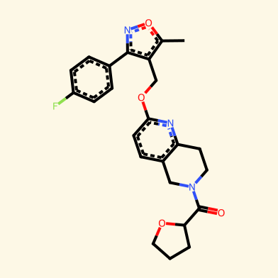 Cc1onc(-c2ccc(F)cc2)c1COc1ccc2c(n1)CCN(C(=O)C1CCCO1)C2